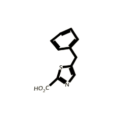 O=C(O)c1ncc(Cc2ccccc2)s1